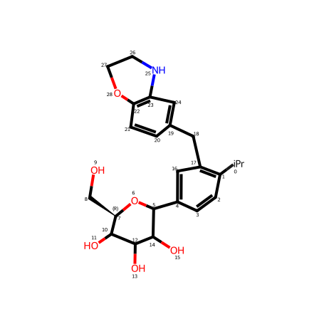 CC(C)c1ccc(C2O[C@H](CO)C(O)C(O)C2O)cc1Cc1ccc2c(c1)NCCO2